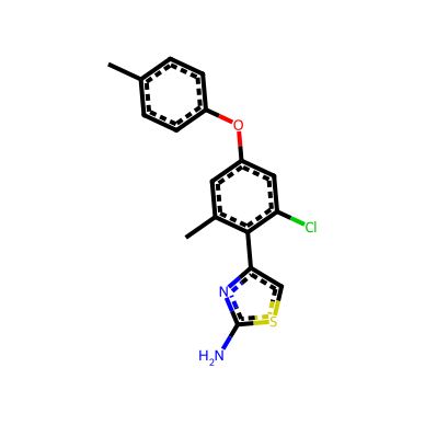 Cc1ccc(Oc2cc(C)c(-c3csc(N)n3)c(Cl)c2)cc1